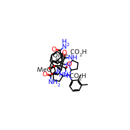 CO[C@@]1(CC(N)=O)Cc2ccc(cc2)[C@]1(C(=O)NC(=O)O)N1CCCC1N(c1cccc(C)c1C)C1CCCN1[C@@]1(C(=O)NC(=O)O)c2ccc(cc2)C[C@]1(CC(N)=O)OC